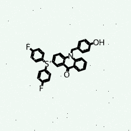 O=c1c2ccccc2n(Cc2ccc(O)cc2)c2ccc([S+](c3ccc(F)cc3)c3ccc(F)cc3)cc12